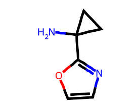 NC1(c2ncco2)CC1